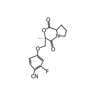 C[C@]1(COc2ccc(C#N)c(F)c2)OC(=O)C2CCCN2C1=O